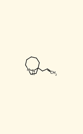 C=CCC12CCCCCN(CC1)N2